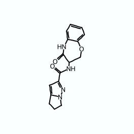 O=C(NC1COc2ccccc2NC1=O)c1cc2n(n1)CCC2